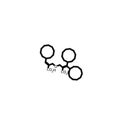 O=C(O)C(=CC1CCCCCCCCC1)COCC(C(=O)O)=C(C1CCCCCCCCC1)C1CCCCCCCCC1